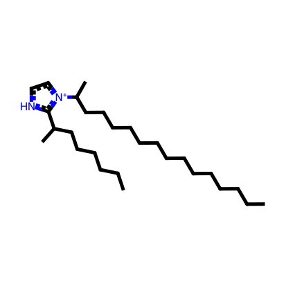 CCCCCCCCCCCCCCC(C)[n+]1cc[nH]c1C(C)CCCCCC